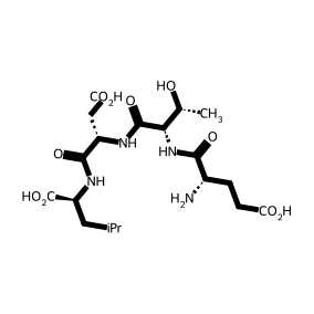 CC(C)C[C@H](NC(=O)[C@H](CC(=O)O)NC(=O)[C@@H](NC(=O)[C@@H](N)CCC(=O)O)[C@@H](C)O)C(=O)O